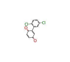 O=C1C=CC(=O)C(c2cc(Cl)ccc2Cl)=C1